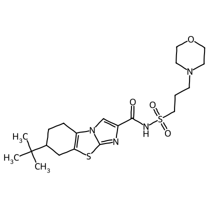 CC(C)(C)C1CCc2c(sc3nc(C(=O)NS(=O)(=O)CCCN4CCOCC4)cn23)C1